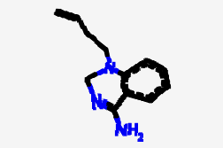 C=CCCN1CN=C(N)c2ccccc21